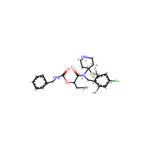 CC(C)CC(OC(=O)NCc1ccccc1)C(=O)N(Cc1c(F)cc(F)cc1F)C1(C#N)CCNCC1